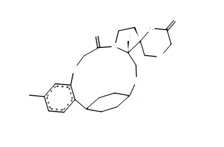 Cc1ccc2c(c1)OCC(=O)N1[C@H](C)C[C@@]3(COCC(=O)N3)[C@@H]1CO[C@H]1CC[C@@H]2CC1